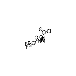 COc1cc(Cl)cc(-c2nnc(NC(=O)c3ccc(SC(F)(F)F)cc3)o2)c1